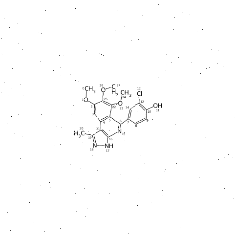 COc1cc2c(c(-c3ccc(O)c(Cl)c3)nc3[nH]nc(C)c32)c(OC)c1OC